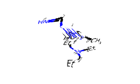 CC(=O)O.CCN(CC)CC.N=CN